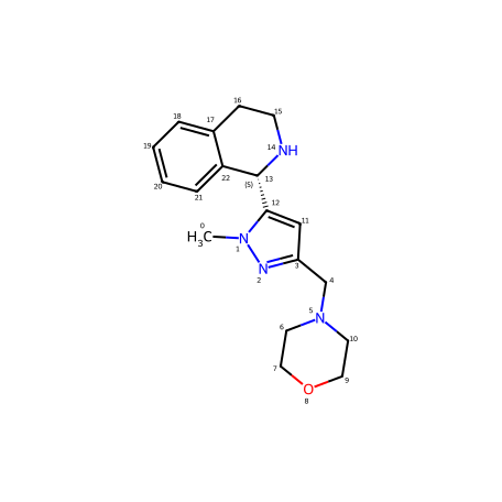 Cn1nc(CN2CCOCC2)cc1[C@H]1NCCc2ccccc21